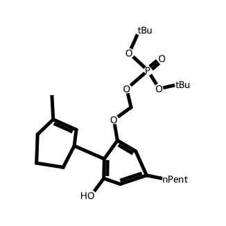 CCCCCc1cc(O)c(C2C=C(C)CCC2)c(OCOP(=O)(OC(C)(C)C)OC(C)(C)C)c1